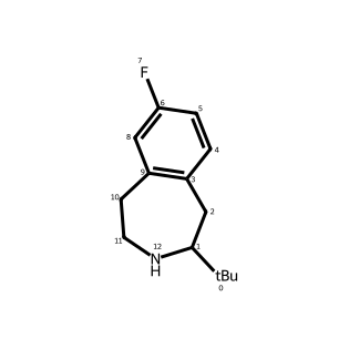 CC(C)(C)C1Cc2ccc(F)cc2CCN1